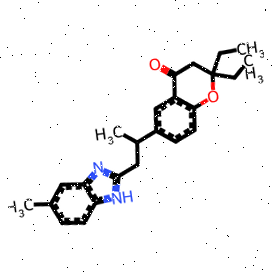 CCC1(CC)CC(=O)c2cc(C(C)Cc3nc4cc(C)ccc4[nH]3)ccc2O1